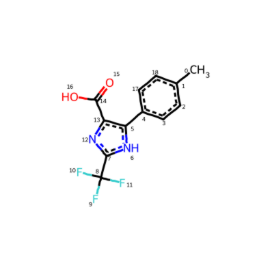 Cc1ccc(-c2[nH]c(C(F)(F)F)nc2C(=O)O)cc1